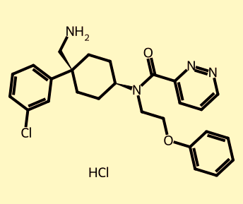 Cl.NC[C@]1(c2cccc(Cl)c2)CC[C@H](N(CCOc2ccccc2)C(=O)c2cccnn2)CC1